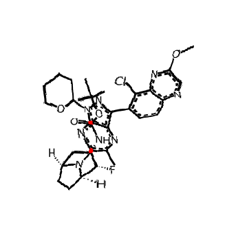 COc1cnc2ccc(-c3nn(C4CCCCO4)c4nc(N5[C@H]6CC[C@@H]5[C@@H](F)[C@@H](NC(=O)OC(C)(C)C)C6)c(C)nc34)c(Cl)c2n1